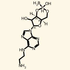 B[PH]1(O)OC[C@H]2O[C@@H](n3cnc4c(NCCN)ncnc43)C(O)[C@H]2O1